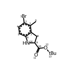 Cc1c(Br)ccc2c1CC(C(=O)OC(C)(C)C)N2